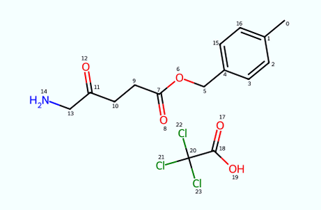 Cc1ccc(COC(=O)CCC(=O)CN)cc1.O=C(O)C(Cl)(Cl)Cl